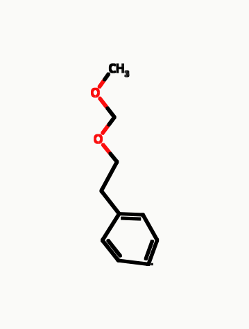 COCOCCc1cc[c]cc1